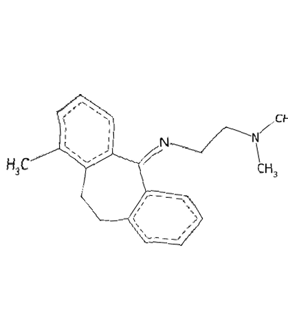 Cc1cccc2c1CCc1ccccc1C2=NCCN(C)C